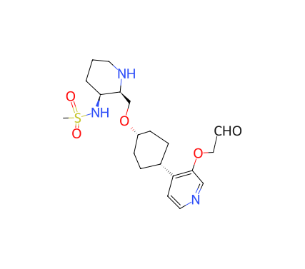 CS(=O)(=O)N[C@H]1CCCN[C@H]1CO[C@H]1CC[C@@H](c2ccncc2OCC=O)CC1